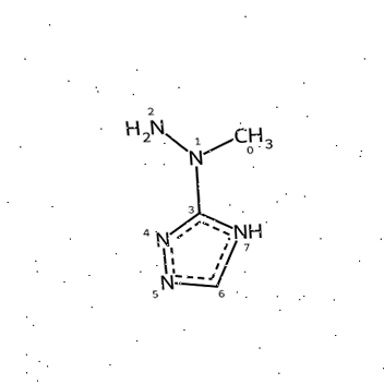 CN(N)c1nnc[nH]1